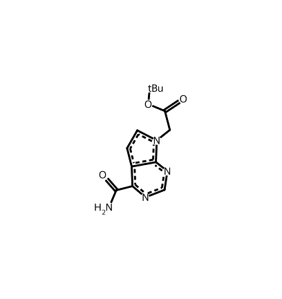 CC(C)(C)OC(=O)Cn1ccc2c(C(N)=O)ncnc21